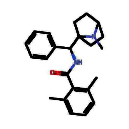 Cc1cccc(C)c1C(=O)N[C@@H](c1ccccc1)C12CCC(CC1)N2C